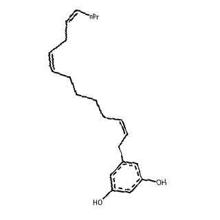 CCC/C=C\C/C=C\CCCC/C=C\Cc1cc(O)cc(O)c1